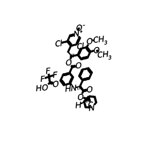 COc1ccc([C@H](Cc2c(Cl)c[n+]([O-])cc2Cl)OC(=O)c2cccc(N[C@H](C(=O)O[C@H]3CN4CCC3CC4)c3ccccc3)c2)cc1OC.O=C(O)C(F)(F)F